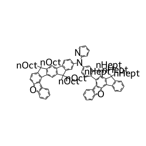 CCCCCCCCC1(CCCCCCCC)c2cc(N(c3ccc4c(c3)C(CCCCCCC)(CCCCCCC)c3c5c(c6oc7ccccc7c6c3-4)-c3ccccc3C5(CCCCCCC)CCCCCCC)c3ccccn3)ccc2-c2cc3c(cc21)-c1c(ccc2oc4ccccc4c12)C3(CCCCCCCC)CCCCCCCC